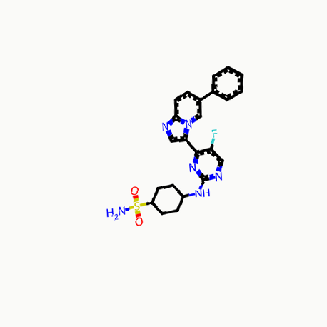 NS(=O)(=O)C1CCC(Nc2ncc(F)c(-c3cnc4ccc(-c5ccccc5)cn34)n2)CC1